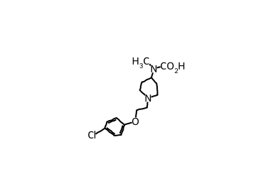 CN(C(=O)O)C1CCN(CCOc2ccc(Cl)cc2)CC1